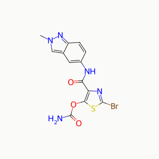 Cn1cc2cc(NC(=O)c3nc(Br)sc3OC(N)=O)ccc2n1